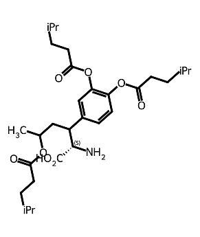 CC(C)CCC(=O)Oc1ccc(C(CC(C)OC(=O)CCC(C)C)[C@H](N)C(=O)O)cc1OC(=O)CCC(C)C